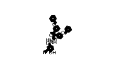 N#Cc1cc(C(=O)NNC(=O)c2occ(-c3cccc(OCc4ccccc4)c3)c2-c2cccc(OCc3ccccc3)c2)ccc1O